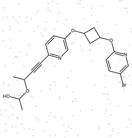 CC(O)OC(C)C#Cc1ccc(OC2CC(Oc3ccc(Br)cn3)C2)cn1